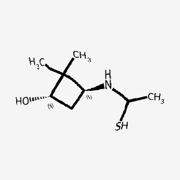 CC(S)N[C@H]1C[C@H](O)C1(C)C